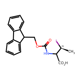 C[C@H](I)C(NC(=O)OCC1c2ccccc2-c2ccccc21)C(=O)O